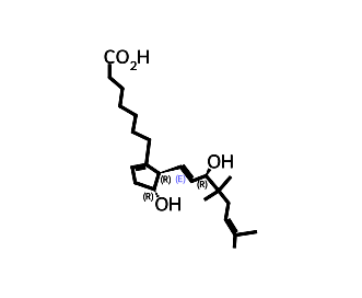 CC(C)=CCC(C)(C)[C@H](O)/C=C/[C@@H]1C(CCCCCCC(=O)O)=CC[C@H]1O